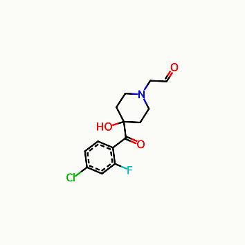 O=CCN1CCC(O)(C(=O)c2ccc(Cl)cc2F)CC1